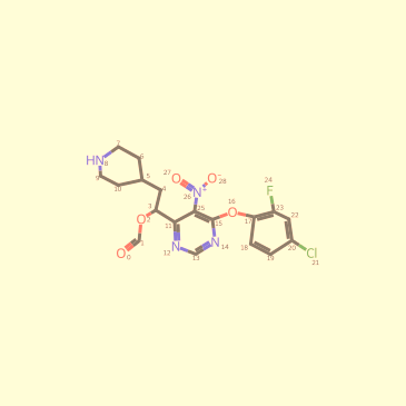 O=COC(CC1CCNCC1)c1ncnc(Oc2ccc(Cl)cc2F)c1[N+](=O)[O-]